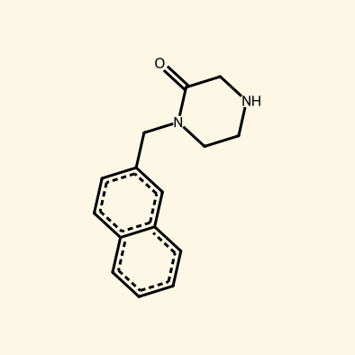 O=C1CNCCN1Cc1ccc2ccccc2c1